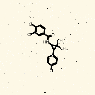 CC1(C)C(NC(=O)c2ccc(Cl)c(Cl)c2)C1c1ccc(Cl)cc1